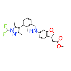 COC(=O)C[C@@H]1COc2cc(NCc3cccc(-c4c(C)nn(C(F)F)c4C)c3C)ccc21